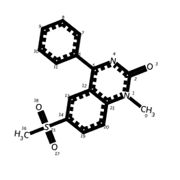 Cn1c(=O)nc(-c2ccccc2)c2cc(S(C)(=O)=O)ccc21